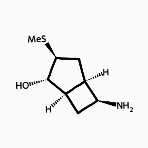 CS[C@H]1C[C@@H]2[C@@H](C[C@@H]2N)[C@@H]1O